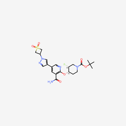 CC(C)(C)OC(=O)N1CC[C@H](Oc2ncc(-c3cnn(C4CS(=O)(=O)C4)c3)cc2C(N)=O)[C@H](F)C1